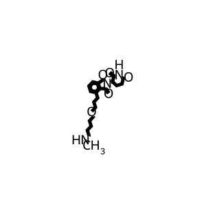 CNCCCCCOCCCc1cccc2c1C(=O)N(C1CCC(=O)NC1=O)C2=O